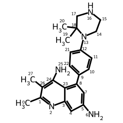 Cc1nc2cc(N)cc(-c3ccc(N4CCNCC4(C)C)cc3)c2c(N)c1C